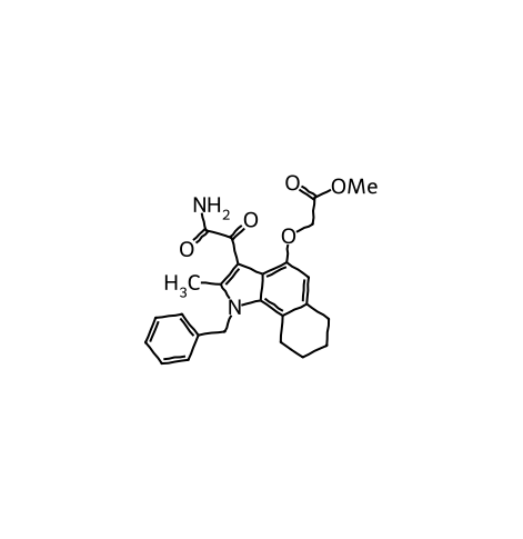 COC(=O)COc1cc2c(c3c1c(C(=O)C(N)=O)c(C)n3Cc1ccccc1)CCCC2